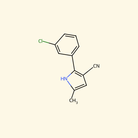 Cc1cc(C#N)c(-c2cccc(Cl)c2)[nH]1